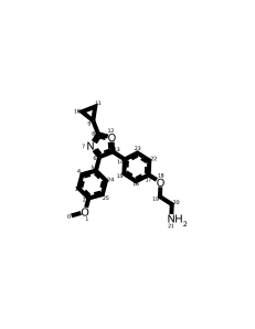 COc1ccc(-c2nc(C3CC3)oc2-c2ccc(OCCN)cc2)cc1